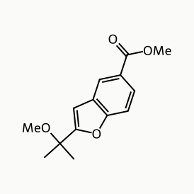 COC(=O)c1ccc2oc(C(C)(C)OC)cc2c1